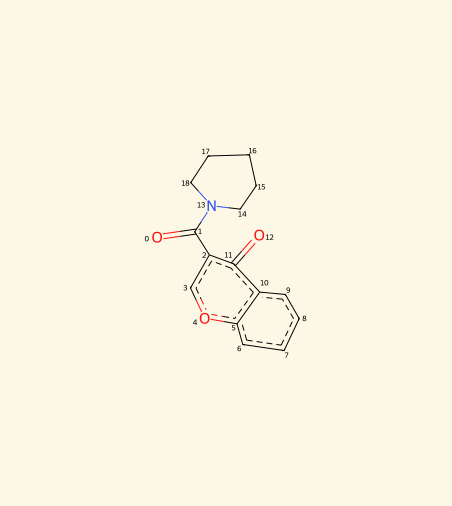 O=C(c1coc2ccccc2c1=O)N1CCCCC1